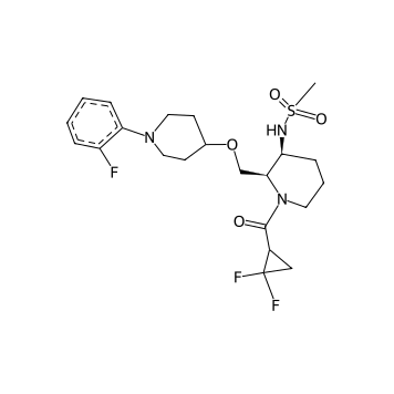 CS(=O)(=O)N[C@H]1CCCN(C(=O)C2CC2(F)F)[C@H]1COC1CCN(c2ccccc2F)CC1